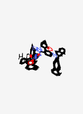 CC1C/C=C(c2ccc3oc4ccccc4c3c2)/N=C(c2ccc(-n3c4cc5ccccc5cc4c4cc5ccccc5cc43)c3oc4ccccc4c23)\N=C/1c1ccc2ccccc2c1